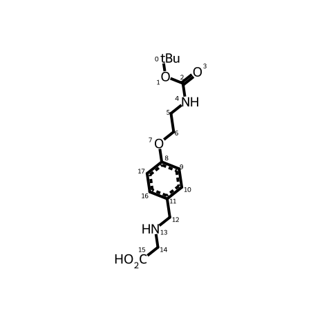 CC(C)(C)OC(=O)NCCOc1ccc(CNCC(=O)O)cc1